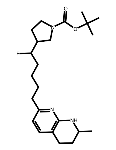 CC1CCc2ccc(CCCCC(F)C3CCN(C(=O)OC(C)(C)C)C3)nc2N1